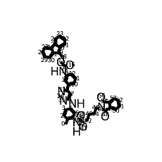 Cc1ccc(Nc2cc(-c3cccc(NC(=O)OCC4c5ccccc5-c5ccccc54)c3)ncn2)cc1NS(=O)(=O)CCCCN1C(=O)c2ccccc2C1=O